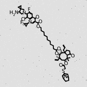 C=CCC12CCC(=O)C1C(C)(C)[C@@H](OC(=O)CSC1CC3CCC(C1)N3C)C[C@](C)(C=C)[C@H](OC(=O)CCCCCCCCCCOC(=O)c1cn(C3C[C@@H]3F)c3c(Cl)c(N4C[C@@H](N)C5(CC5)C4)c(F)cc3c1=O)[C@H]2C